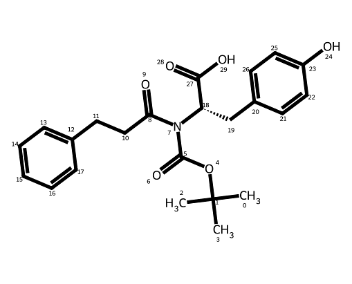 CC(C)(C)OC(=O)N(C(=O)CCc1ccccc1)[C@@H](Cc1ccc(O)cc1)C(=O)O